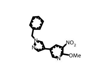 COc1ncc(-c2cnn(Cc3ccccc3)c2)cc1[N+](=O)[O-]